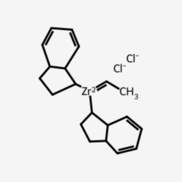 C[CH]=[Zr+2]([CH]1CCC2C=CC=CC21)[CH]1CCC2C=CC=CC21.[Cl-].[Cl-]